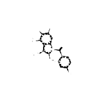 CC[C@H](C)c1c(O)c(F)cc2c1c(OC(C)=O)c(C)n2C(=O)c1ccc(Cl)cc1